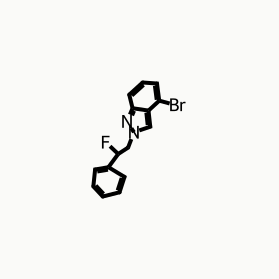 FC(Cn1cc2c(Br)cccc2n1)c1ccccc1